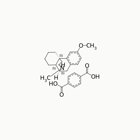 COc1ccc2c(c1)[C@]13CCCC[C@@H]1[C@H](C2)N(C)CC3.O=C(O)c1ccc(C(=O)O)cc1